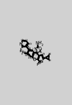 NC1=N[C@@]2(CO1)c1cc(-c3cccnc3F)c(F)cc1Oc1c2cc(C2CC2)nc1F